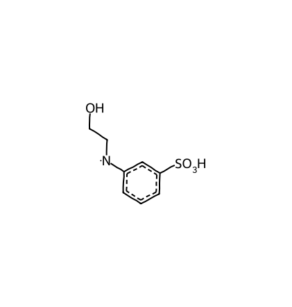 O=S(=O)(O)c1cccc([N]CCO)c1